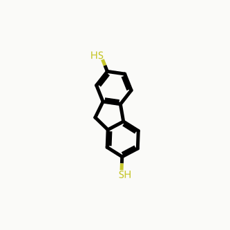 Sc1ccc2c(c1)Cc1cc(S)ccc1-2